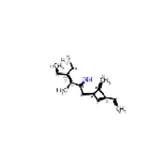 C=CC1=CC(CC(=N)/C(C)=C(/C=C)CC)C1=C